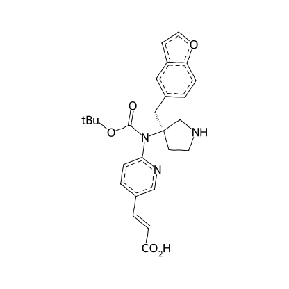 CC(C)(C)OC(=O)N(c1ccc(/C=C/C(=O)O)cn1)[C@]1(Cc2ccc3occc3c2)CCNC1